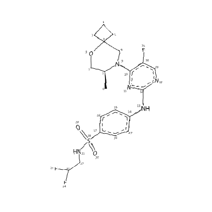 C[C@H]1COC2(CCC2)CN1c1nc(Nc2ccc(S(=O)(=O)NCC(F)F)cc2)ncc1F